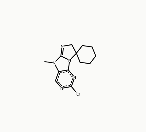 CN1C2=NCC3(CCCCC3)N2c2nc(Cl)ncc21